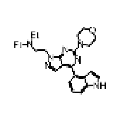 CCN(CC)CCn1ncc2c(-c3cccc4[nH]ccc34)nc(N3CCOCC3)nc21